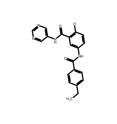 CCc1ccc(C(=O)Nc2ccc(Cl)c(C(=O)Nc3cncnc3)c2)cc1